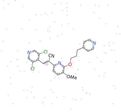 COc1ccc(/C(C#N)=C/c2c(Cl)cncc2Cl)nc1OCCCc1ccncc1